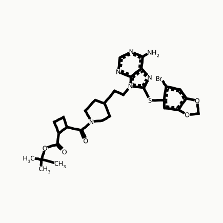 CC(C)(C)OC(=O)C1CCC1C(=O)N1CCC(CCn2c(Sc3cc4c(cc3Br)OCO4)nc3c(N)ncnc32)CC1